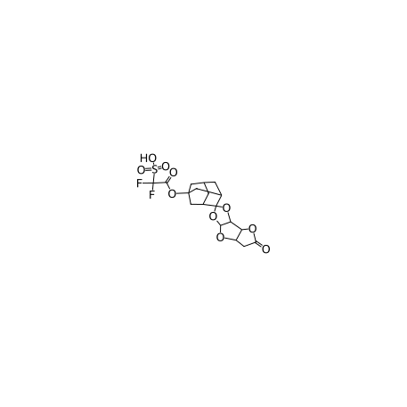 O=C1CC2OC3OC4(OC3C2O1)C1CC2CC4CC(OC(=O)C(F)(F)S(=O)(=O)O)(C2)C1